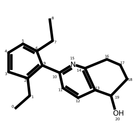 CCc1cccc(CC)c1-c1ccc2c(n1)CCCC2O